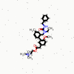 CCN(Cc1cc(C)ccc1-c1cc(CC(=O)OCC[N+](C)(C)C)ccc1OC)C(=O)NCc1ccccc1